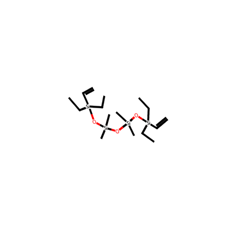 C=C[Si](CC)(CC)O[Si](C)(C)O[Si](C)(C)O[Si](C=C)(CC)CC